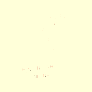 CN(CCOc1ccc(-c2c(Cl)cc(NC(=N)N=C(N)N)cc2Cl)cc1)C(=O)OC(C)(C)C